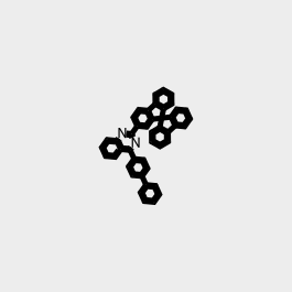 c1ccc(-c2ccc(-c3nc(-c4ccc5c(c4)C4(c6ccccc6-c6ccccc64)c4ccccc4-5)nc4ccccc34)cc2)cc1